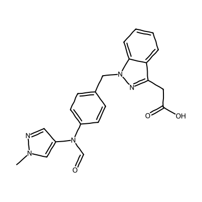 Cn1cc(N(C=O)c2ccc(Cn3nc(CC(=O)O)c4ccccc43)cc2)cn1